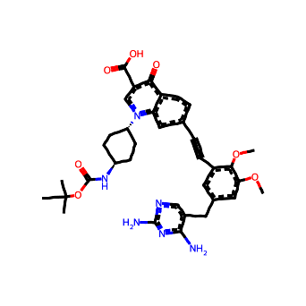 COc1cc(Cc2cnc(N)nc2N)cc(C#Cc2ccc3c(=O)c(C(=O)O)cn([C@H]4CC[C@H](NC(=O)OC(C)(C)C)CC4)c3c2)c1OC